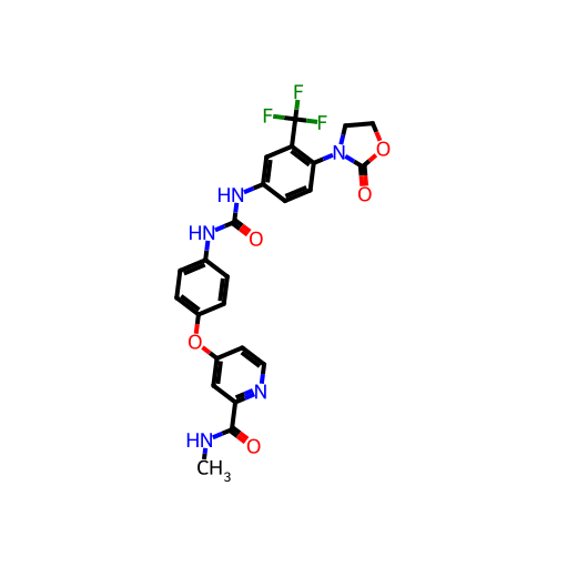 CNC(=O)c1cc(Oc2ccc(NC(=O)Nc3ccc(N4CCOC4=O)c(C(F)(F)F)c3)cc2)ccn1